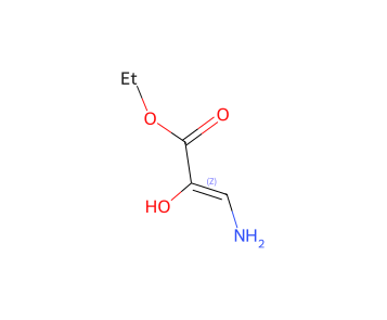 CCOC(=O)/C(O)=C/N